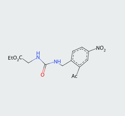 CCOC(=O)CNC(=O)NCc1ccc([N+](=O)[O-])cc1C(C)=O